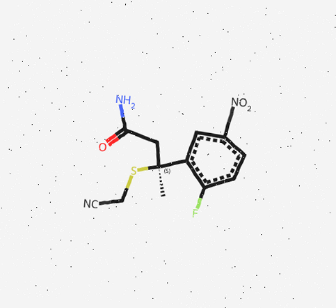 C[C@@](CC(N)=O)(SCC#N)c1cc([N+](=O)[O-])ccc1F